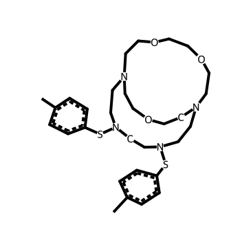 Cc1ccc(SN2CCN3CCOCCOCCN(CCOCC3)CCN(Sc3ccc(C)cc3)CC2)cc1